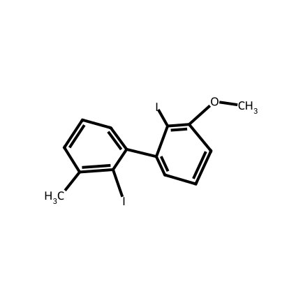 COc1cccc(-c2cccc(C)c2I)c1I